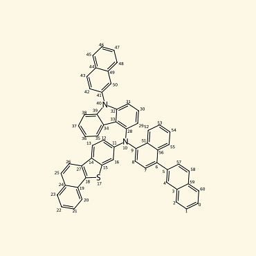 c1ccc2cc(-c3ccc(N(c4ccc5c(c4)sc4c6ccccc6ccc54)c4cccc5c4c4ccccc4n5-c4ccc5ccccc5c4)c4ccccc34)ccc2c1